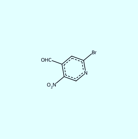 O=Cc1cc(Br)ncc1[N+](=O)[O-]